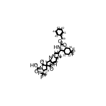 O=C(N[C@H](c1cn2nc(CC3(C(=O)O)C[C@@H](C(F)(F)F)N(C(=O)O)C3=O)ccc2n1)C1CCC(F)(F)CC1)OCc1ccccc1